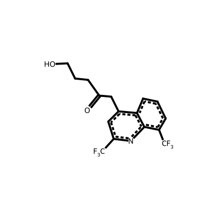 O=C(CCCO)Cc1cc(C(F)(F)F)nc2c(C(F)(F)F)cccc12